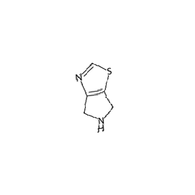 c1nc2c(s1)CNC2